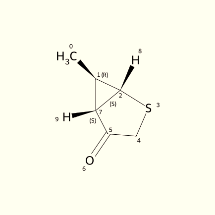 C[C@H]1[C@@H]2SCC(=O)[C@H]12